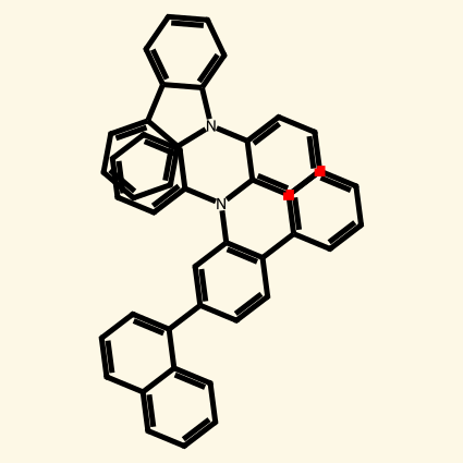 c1ccc(-c2ccc(-c3cccc4ccccc34)cc2N(c2ccccc2)c2ccccc2-n2c3ccccc3c3ccccc32)cc1